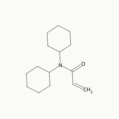 C=CC(=O)N(C1CCCCC1)C1CCCCC1